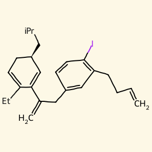 C=CCCc1cc(CC(=C)C2=C[C@H](CC(C)C)CC=C2CC)ccc1I